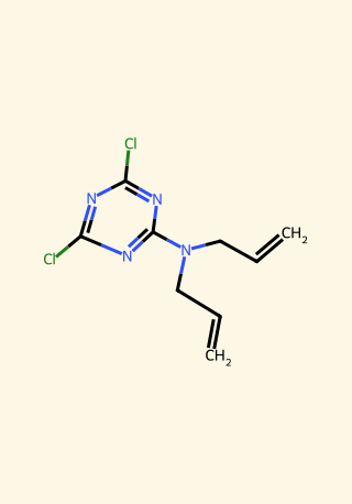 C=CCN(CC=C)c1nc(Cl)nc(Cl)n1